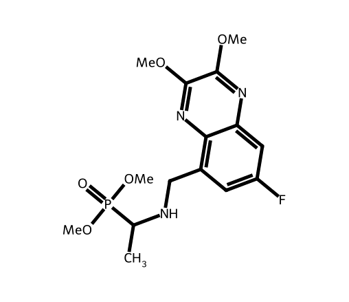 COc1nc2cc(F)cc(CNC(C)P(=O)(OC)OC)c2nc1OC